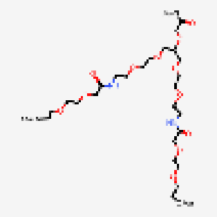 CNC(=O)COC(COCCOCCNC(=O)COCCOCCOC)COCCOCCNC(=O)COCCOCCOC